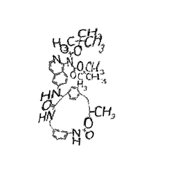 CC1Cc2ccc(cc2)C(Nc2ccc3c(N(C(=O)OC(C)(C)C)C(=O)OC(C)(C)C)nccc3c2)C(=O)NCc2cccc(c2)NC(=O)O1